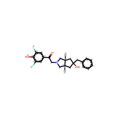 O=C(CN1C[C@@H]2CC(O)(Cc3ccccc3)C[C@@H]2C1)c1cc(F)c(O)c(F)c1